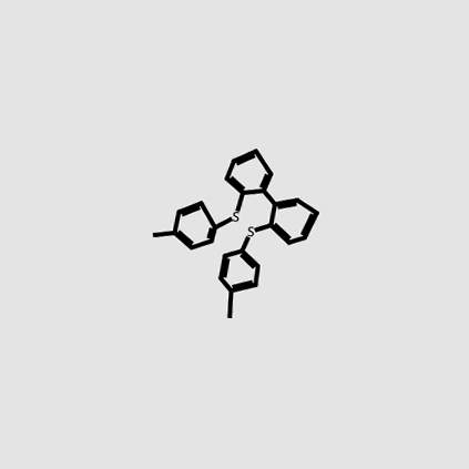 Cc1ccc(Sc2ccccc2-c2ccccc2Sc2ccc(C)cc2)cc1